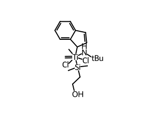 [CH2]=[Ti]([CH3])([Cl])([Cl])([NH]C(C)(C)C)([CH]1C=Cc2ccccc21)[Si](C)(C)CCO